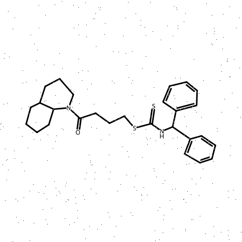 O=C(CCCSC(=S)NC(c1ccccc1)c1ccccc1)N1CCCC2CCCCC21